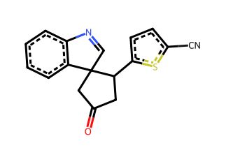 N#Cc1ccc(C2CC(=O)CC23C=Nc2ccccc23)s1